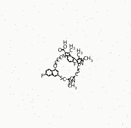 Cc1c(C(=O)O)n2c3ccc(F)c(c13)-c1c(nn(C)c1C)CSCc1cc(n(C)n1)CSc1cc(c3ccc(F)cc3c1)OCCC2